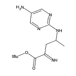 CC(CC(=N)C(=O)OC(C)(C)C)Nc1ncc(N)cn1